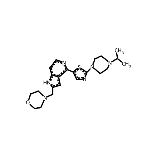 CC(C)N1CCN(c2ncc(-c3nccc4[nH]c(CN5CCOCC5)cc34)s2)CC1